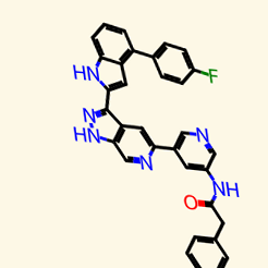 O=C(Cc1ccccc1)Nc1cncc(-c2cc3c(-c4cc5c(-c6ccc(F)cc6)cccc5[nH]4)n[nH]c3cn2)c1